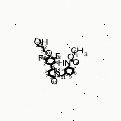 CCOC(=O)Nc1cccc(Cn2nc(-c3cc(F)c(OCCCO)c(F)c3)ccc2=O)c1